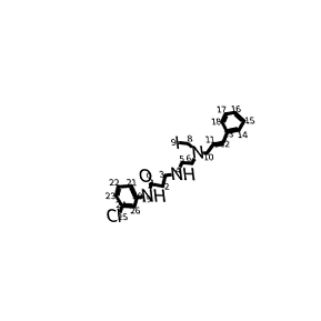 O=C(CCNCCN(CI)C/C=C/c1ccccc1)Nc1cccc(Cl)c1